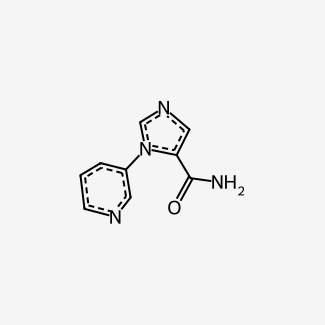 NC(=O)c1cncn1-c1cccnc1